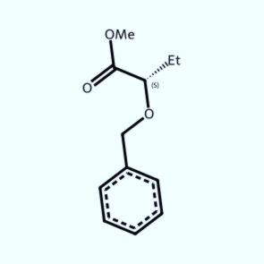 CC[C@H](OCc1ccccc1)C(=O)OC